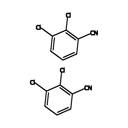 N#Cc1cccc(Cl)c1Cl.N#Cc1cccc(Cl)c1Cl